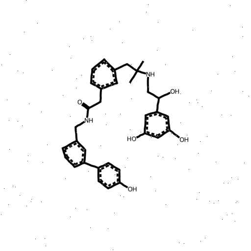 CC(C)(Cc1cccc(CC(=O)NCc2cccc(-c3ccc(O)cc3)c2)c1)NCC(O)c1cc(O)cc(O)c1